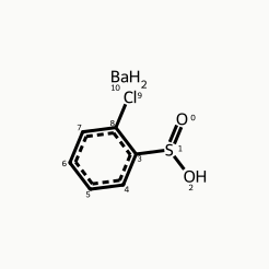 O=S(O)c1ccccc1Cl.[BaH2]